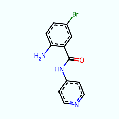 Nc1ccc(Br)cc1C(=O)Nc1ccncc1